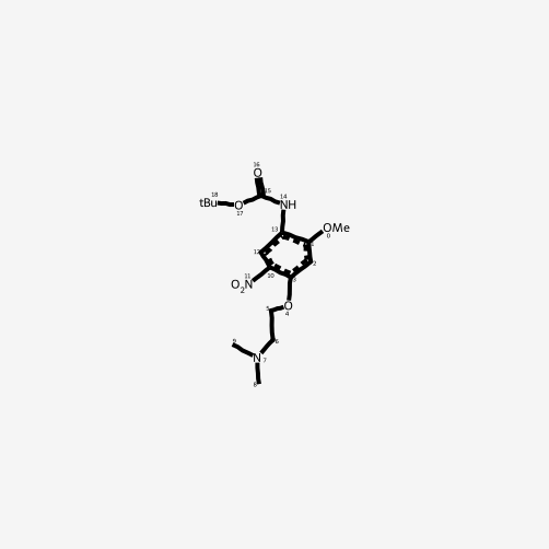 COc1cc(OCCN(C)C)c([N+](=O)[O-])cc1NC(=O)OC(C)(C)C